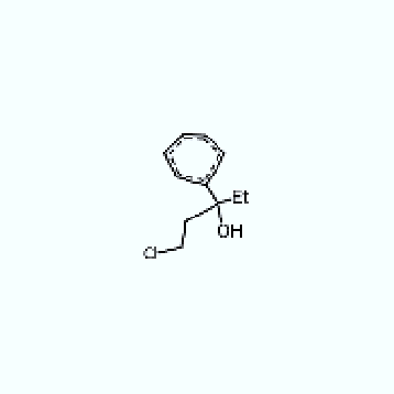 CCC(O)(CCCl)c1ccccc1